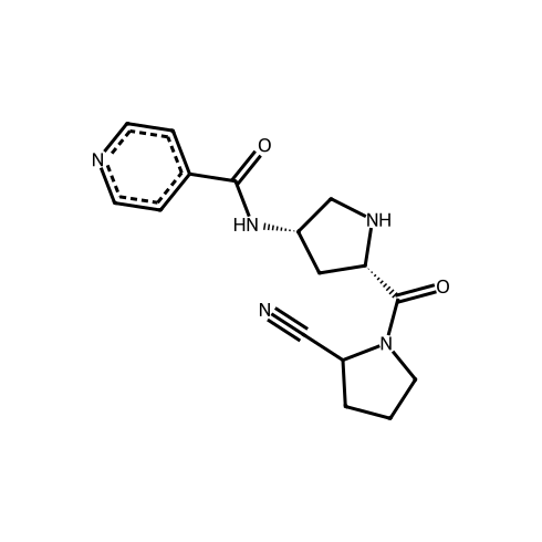 N#CC1CCCN1C(=O)[C@@H]1C[C@H](NC(=O)c2ccncc2)CN1